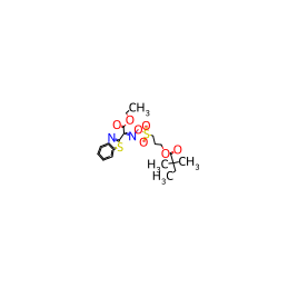 CCOC(=O)/C(=N\OS(=O)(=O)CCCOC(=O)C(C)(C)CC)c1nc2ccccc2s1